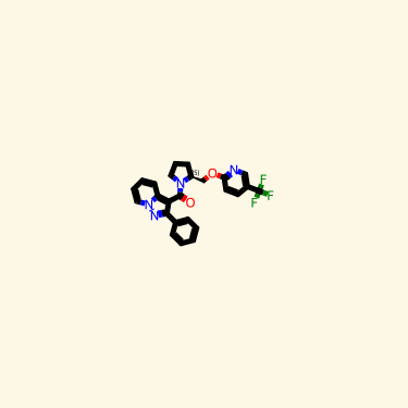 O=C(c1c(-c2ccccc2)nn2ccccc12)N1CCC[C@H]1COc1ccc(C(F)(F)F)cn1